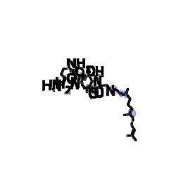 CNCC1CCC(N)[C@@H](O[C@H]2C(N)C[C@H](OC)C(N(C)C(=O)C/N=C/C=C(\C)CC/C=C(\C)CCC=C(C)C)C2O)O1